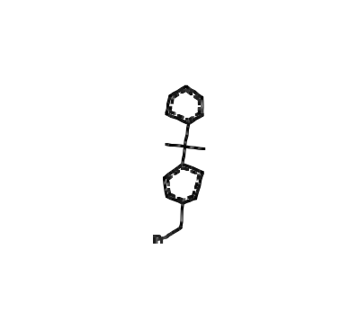 CC(C)Cc1ccc(C(C)(C)c2ccccc2)cc1